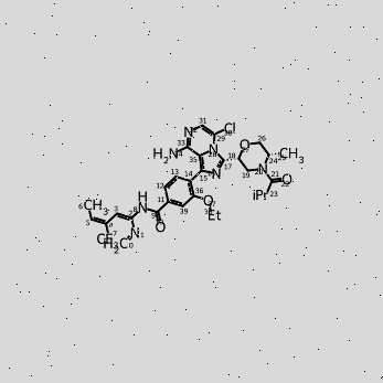 C=N/C(=C\C(=C/C)C(F)(F)F)NC(=O)c1ccc(-c2nc([C@H]3CN(C(=O)C(C)C)[C@@H](C)CO3)n3c(Cl)cnc(N)c23)c(OCC)c1